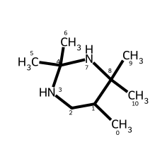 CC1CNC(C)(C)NC1(C)C